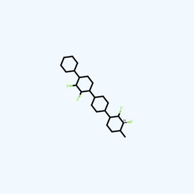 CC1CCC(C2CCC(C3CCC(C4CCCCC4)C(F)C3F)CC2)C(F)[C@H]1F